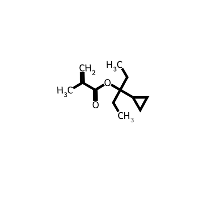 C=C(C)C(=O)OC(CC)(CC)C1CC1